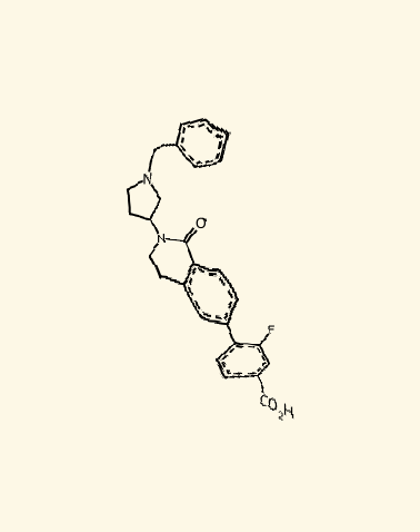 O=C(O)c1ccc(-c2ccc3c(c2)CCN(C2CCN(Cc4ccccc4)C2)C3=O)c(F)c1